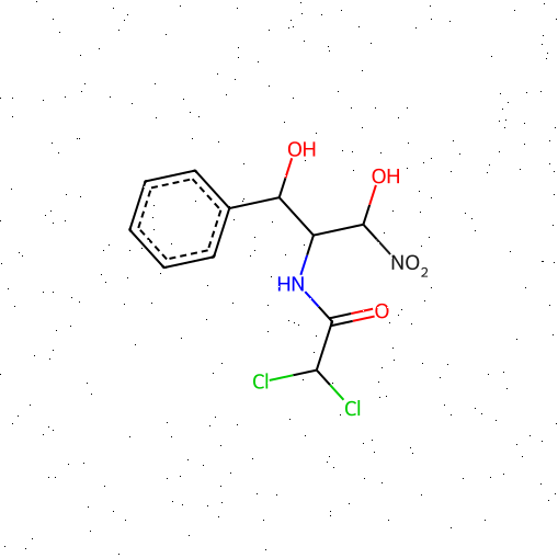 O=C(NC(C(O)c1ccccc1)C(O)[N+](=O)[O-])C(Cl)Cl